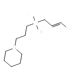 CC=CC[Si](C)(C)CCCN1CCCCC1